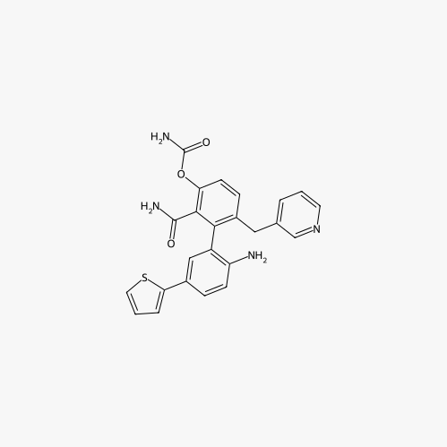 NC(=O)Oc1ccc(Cc2cccnc2)c(-c2cc(-c3cccs3)ccc2N)c1C(N)=O